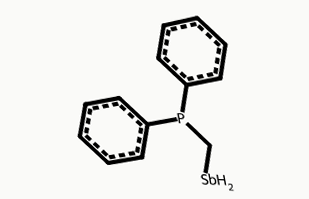 [SbH2][CH2]P(c1ccccc1)c1ccccc1